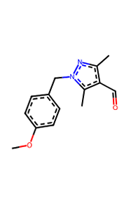 COc1ccc(Cn2nc(C)c(C=O)c2C)cc1